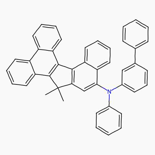 CC1(C)c2cc(N(c3ccccc3)c3cccc(-c4ccccc4)c3)c3ccccc3c2-c2c1c1ccccc1c1ccccc21